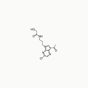 CC(=O)c1cn(CCCNC(=O)CO)c2nc(Cl)cnc12